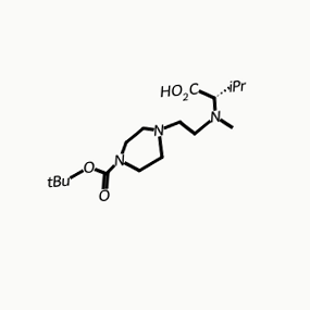 CC(C)[C@@H](C(=O)O)N(C)CCN1CCN(C(=O)OC(C)(C)C)CC1